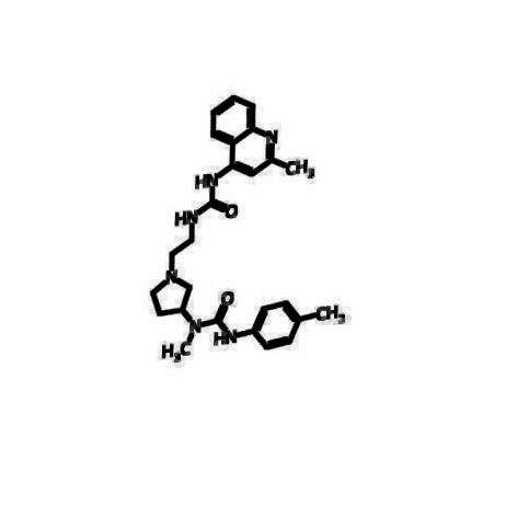 Cc1ccc(NC(=O)N(C)C2CCN(CCNC(=O)Nc3cc(C)nc4ccccc34)C2)cc1